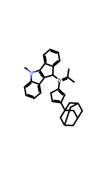 C[C](C)=[Zr]([C]1=CC(C23CC4CC(CC(C4)C2)C3)=CC1)[CH]1c2ccccc2-c2c1c1ccccc1n2C